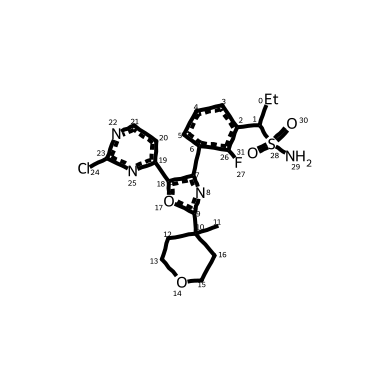 CCC(c1cccc(-c2nc(C3(C)CCOCC3)oc2-c2ccnc(Cl)n2)c1F)S(N)(=O)=O